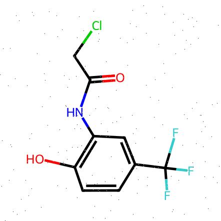 O=C(CCl)Nc1cc(C(F)(F)F)ccc1O